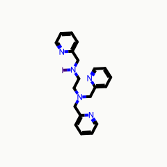 IN(CCN(Cc1ccccn1)Cc1ccccn1)Cc1ccccn1